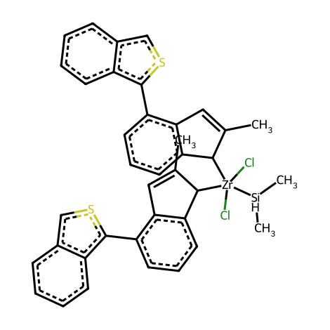 CC1=Cc2c(-c3scc4ccccc34)cccc2[CH]1[Zr]([Cl])([Cl])([CH]1C(C)=Cc2c(-c3scc4ccccc34)cccc21)[SiH](C)C